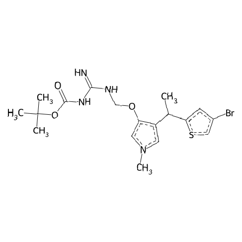 CC(c1cc(Br)cs1)c1cn(C)cc1OCNC(=N)NC(=O)OC(C)(C)C